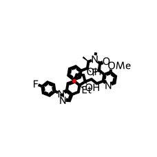 CC[C@]12Cc3cnn(-c4ccc(F)cc4)c3C=C1CC[C@@]2(O)CCc1nccc(OC)c1C(F)C(=O)N(C)[C@H](C)[C@H](O)c1ccccc1